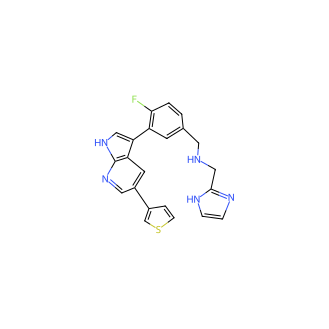 Fc1ccc(CNCc2ncc[nH]2)cc1-c1c[nH]c2ncc(-c3ccsc3)cc12